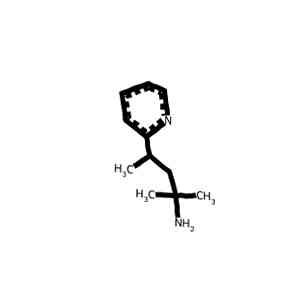 CC(CC(C)(C)N)c1ccccn1